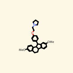 COc1ccc2c(c1)CCC1c3ccc(OC)cc3C(c3ccc(OCCN4CCCC4)cc3)C21